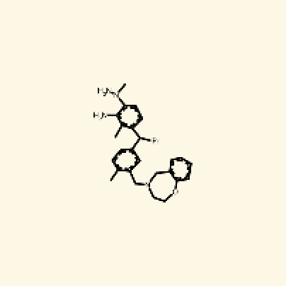 Cc1ccc(C(c2ccc(N(C)N)c(N)c2C)C(C)C)cc1CN1CCOc2ccccc2C1